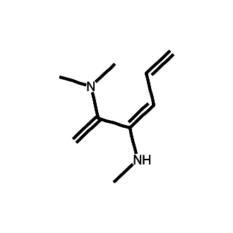 C=C/C=C(/NC)C(=C)N(C)C